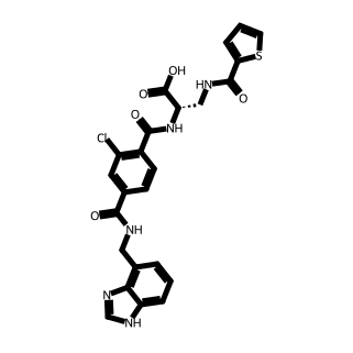 O=C(NCc1cccc2[nH]cnc12)c1ccc(C(=O)N[C@@H](CNC(=O)c2cccs2)C(=O)O)c(Cl)c1